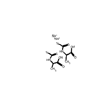 CC(NC(=S)[S-])C(=O)O.CC(NC(=S)[S-])C(=O)O.[Na+].[Na+]